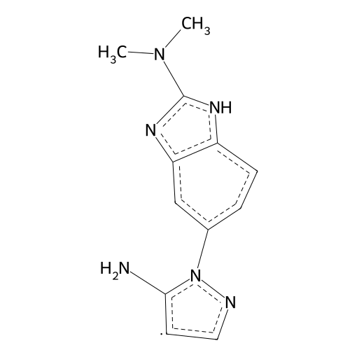 CN(C)c1nc2cc(-n3nc[c]c3N)ccc2[nH]1